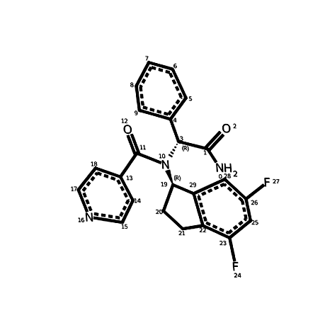 NC(=O)[C@@H](c1ccccc1)N(C(=O)c1ccncc1)[C@@H]1CCc2c(F)cc(F)cc21